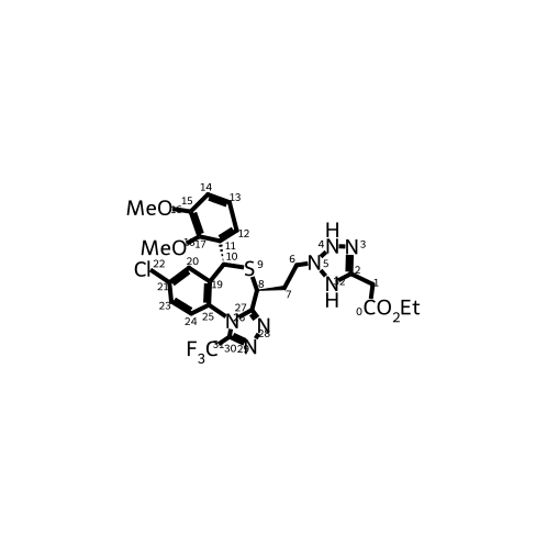 CCOC(=O)CC1=NNN(CC[C@@H]2S[C@@H](c3cccc(OC)c3OC)c3cc(Cl)ccc3-n3c2nnc3C(F)(F)F)N1